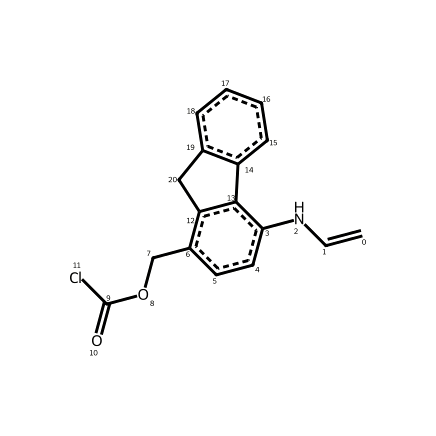 C=CNc1ccc(COC(=O)Cl)c2c1-c1ccccc1C2